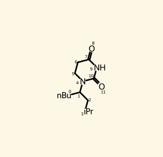 CCCCC(CC(C)C)N1CCC(=O)NC1=O